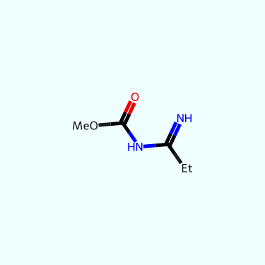 CCC(=N)NC(=O)OC